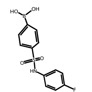 O=S(=O)(Nc1ccc(F)cc1)c1ccc(B(O)O)cc1